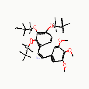 COc1cc(/C=C\c2ccc(O[Si](C)(C)C(C)(C)C)c(O[Si](C)(C)C(C)(C)C)c2O[Si](C)(C)C(C)(C)C)cc(OC)c1OC